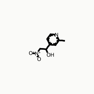 Cc1cc(C(O)C[N+](=O)[O-])ccn1